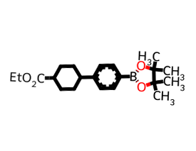 CCOC(=O)C1CCC(c2ccc(B3OC(C)(C)C(C)(C)O3)cc2)CC1